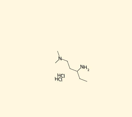 CCC(N)CCN(C)C.Cl.Cl